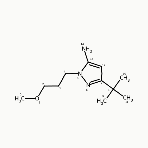 COCCCn1nc(C(C)(C)C)cc1N